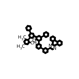 Cc1cc(C)c(-c2cc(-c3ccccc3)cc3c2oc2c(-c4cccc(-c5cccc(-c6cnc7c8ccccc8c8ccccc8c7n6)c5)c4)cc(-c4ccccc4)cc23)c(C)c1